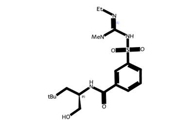 CC/N=C(\NC)NS(=O)(=O)c1cccc(C(=O)N[C@@H](CO)CC(C)(C)C)c1